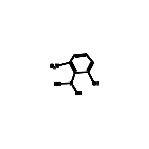 O=[N+]([O-])c1cccc(O)c1B(O)O